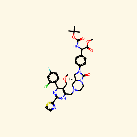 COCC1=C(CN2CCN3C(=O)N(c4ccc(C(NC(=O)OC(C)(C)C)C(=O)OC)cc4)C[C@@H]3C2)NC(c2nccs2)=NC1c1ccc(F)cc1Cl